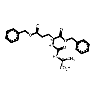 C[C@H](NC(=O)N[C@@H](CCC(=O)OCc1ccccc1)C(=O)OCc1ccccc1)C(=O)O